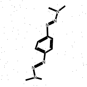 CN(C)N=Nc1ccc(N=NN(C)C)cc1